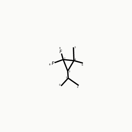 CC(C)C1C(C)(C)C1(F)F